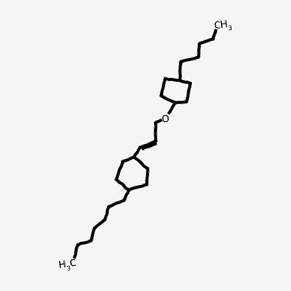 CCCCCCCC1CCC(/C=C/COC2CCC(CCCCC)CC2)CC1